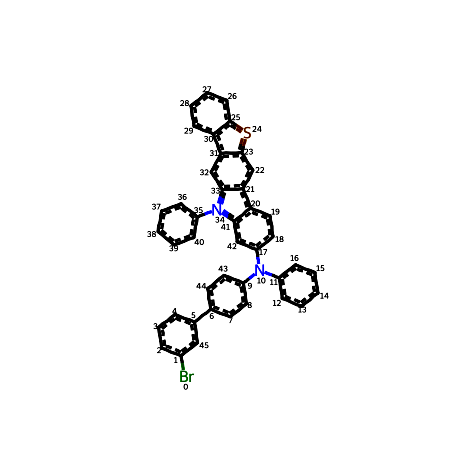 Brc1cccc(-c2ccc(N(c3ccccc3)c3ccc4c5cc6sc7ccccc7c6cc5n(-c5ccccc5)c4c3)cc2)c1